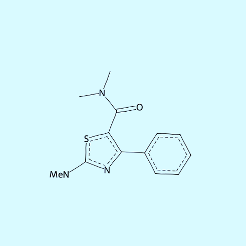 CNc1nc(-c2ccccc2)c(C(=O)N(C)C)s1